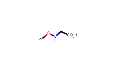 CC(C)ONCC(=O)O